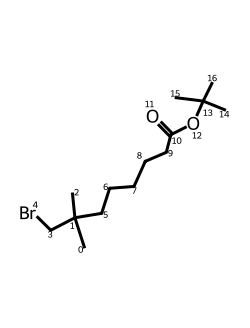 CC(C)(CBr)CCCCCC(=O)OC(C)(C)C